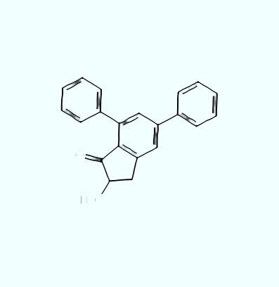 CC1Cc2cc(-c3ccccc3)cc(-c3ccccc3)c2C1=O